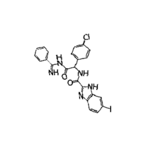 N=C(NC(=O)C(NC(=O)c1nc2ccc(I)cc2[nH]1)c1ccc(Cl)cc1)c1ccccc1